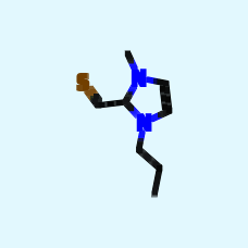 CCCN1C=CN(C)C1C=S